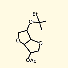 CCC(C)(C)OC1COC2C(OC(C)=O)COC12